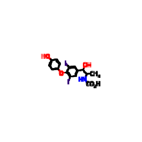 CC(NC(=O)O)C(O)c1cc(I)c(Oc2ccc(O)cc2)c(I)c1